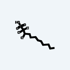 CCCCCCCCCC(Cl)C(Cl)(Cl)S(=O)(=O)O